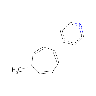 C[C@H]1C=CC=C(c2ccncc2)C=C1